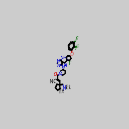 CCN(CC)CC1(C=C(C#N)C(=O)N2CCC[C@H](n3nc(-c4ccc(Oc5cccc(F)c5F)cc4F)c4c(N)ncnc43)C2)CCCC1